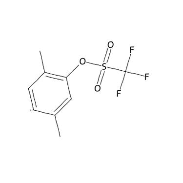 Cc1[c]cc(C)c(OS(=O)(=O)C(F)(F)F)c1